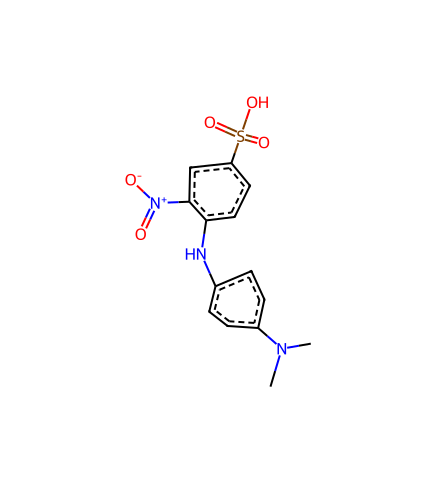 CN(C)c1ccc(Nc2ccc(S(=O)(=O)O)cc2[N+](=O)[O-])cc1